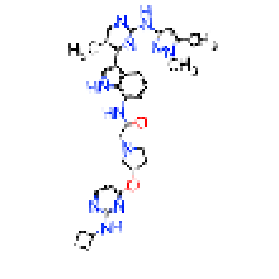 Cc1cnc(Nc2cc(C)n(C)n2)nc1-c1c[nH]c2c(NC(=O)CN3CC[C@H](Oc4ccnc(NC5CCC5)n4)C3)cccc12